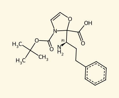 CC(C)(C)OC(=O)N1C=COC1(C(=O)O)[C@H](N)CCc1ccccc1